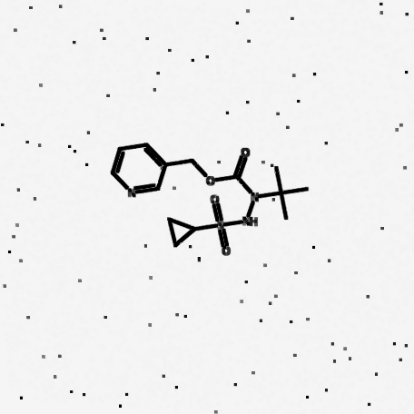 CC(C)(C)N(NS(=O)(=O)C1CC1)C(=O)OCc1cccnc1